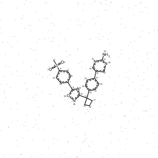 CS(=O)(=O)c1ccc(-c2nc(C3(c4ccc(-c5cnc(N)nc5)cc4)CCC3)no2)cc1